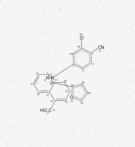 N#Cc1ccc(N2N=C3C=CC=C4C(C(=O)O)=CCCC43C2c2ccco2)cc1Cl